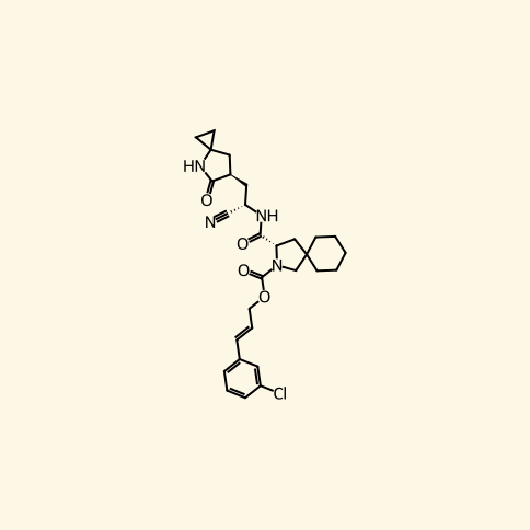 N#C[C@H](C[C@@H]1CC2(CC2)NC1=O)NC(=O)[C@@H]1CC2(CCCCC2)CN1C(=O)OC/C=C/c1cccc(Cl)c1